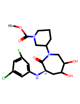 CC(C)(C)OC(=O)N1CCCC(N2CC(O)C(O)C[C@@H](Nc3cc(F)cc(Cl)c3)C2=O)C1